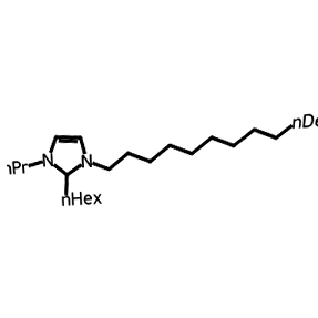 CCCCCCCCCCCCCCCCCCCN1C=CN(CCC)C1CCCCCC